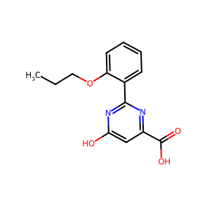 CCCOc1ccccc1-c1nc(O)cc(C(=O)O)n1